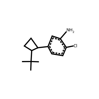 CC(C)(C)C1CC[C]1c1ccc(Cl)c(N)c1